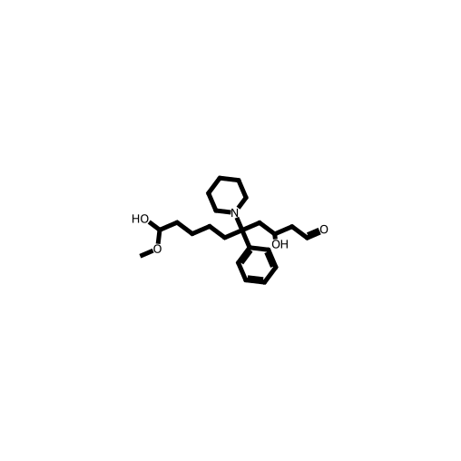 COC(O)CCCCC(CC(O)CC=O)(c1ccccc1)N1CCCCC1